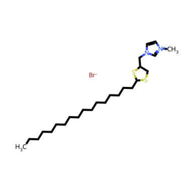 CCCCCCCCCCCCCCCCCC1SCC(Cn2cc[n+](C)c2)S1.[Br-]